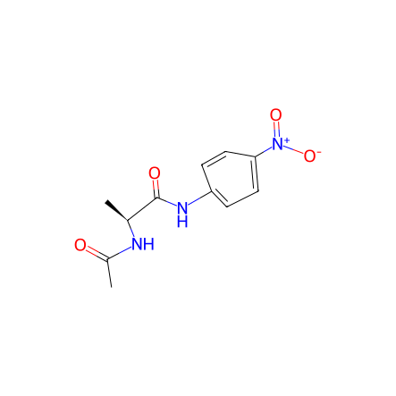 CC(=O)N[C@@H](C)C(=O)Nc1ccc([N+](=O)[O-])cc1